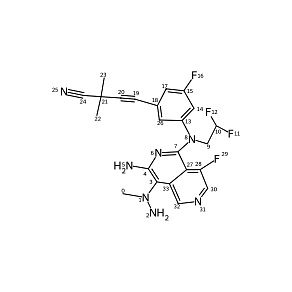 CN(N)c1c(N)nc(N(CC(F)F)c2cc(F)cc(C#CC(C)(C)C#N)c2)c2c(F)cncc12